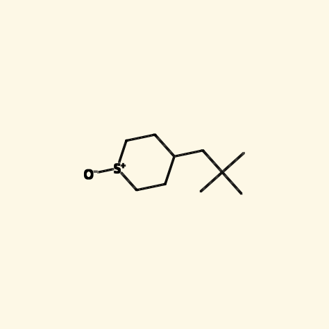 CC(C)(C)CC1CC[S+]([O-])CC1